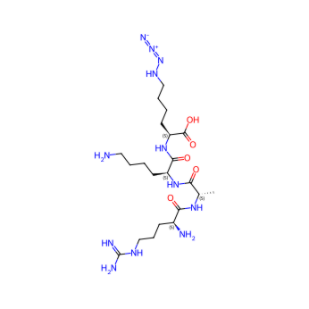 C[C@H](NC(=O)[C@@H](N)CCCNC(=N)N)C(=O)N[C@@H](CCCCN)C(=O)N[C@@H](CCCCNN=[N+]=[N-])C(=O)O